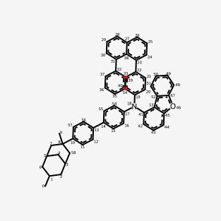 CC1CC2CC(C1)CC(C)(c1ccc(-c3ccc(N(c4ccc(-c5cccc6cccc(-c7ccccc7)c56)cc4)c4cccc5oc6ccccc6c45)cc3)cc1)C2